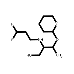 CC(OC1CCCCO1)C(CO)NCCC(F)F